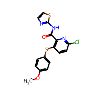 COc1ccc(Sc2ccc(Cl)nc2C(=O)Nc2nccs2)cc1